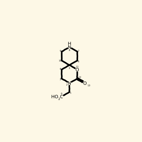 O=C(O)CN1CCC2(CCNCC2)OC1=O